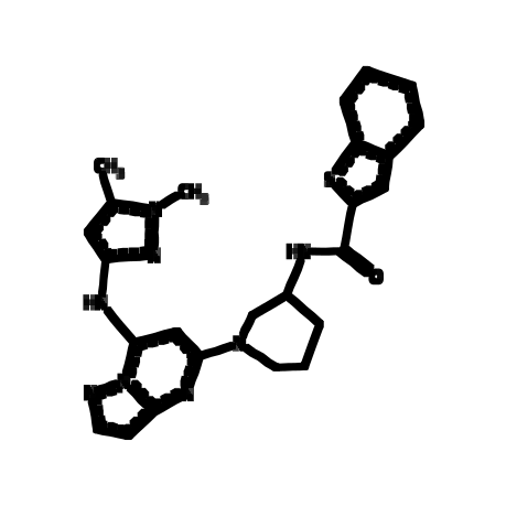 Cc1cc(Nc2cc(N3CCCC(NC(=O)c4cc5ccccc5s4)C3)nc3ccnn23)nn1C